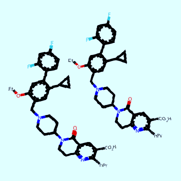 CCCc1nc2c(cc1C(=O)O)C(=O)N(C1CCN(Cc3cc(C4CC4)c(-c4ccc(F)cc4F)cc3OCC)CC1)CC2.CCCc1nc2c(cc1C(=O)O)C(=O)N(C1CCN(Cc3cc(C4CC4)c(-c4ccc(F)cc4F)cc3OCC)CC1)CC2